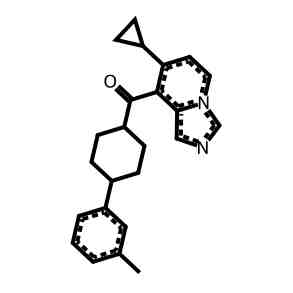 Cc1cccc(C2CCC(C(=O)c3c(C4CC4)ccn4cncc34)CC2)c1